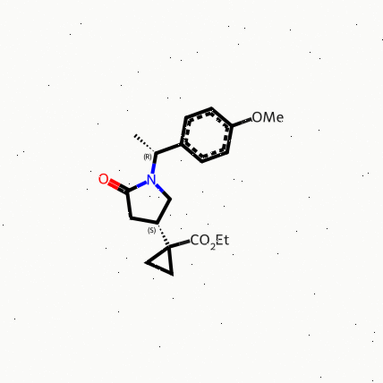 CCOC(=O)C1([C@@H]2CC(=O)N([C@H](C)c3ccc(OC)cc3)C2)CC1